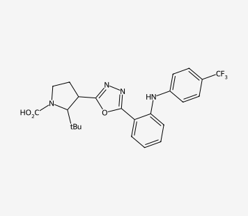 CC(C)(C)C1C(c2nnc(-c3ccccc3Nc3ccc(C(F)(F)F)cc3)o2)CCN1C(=O)O